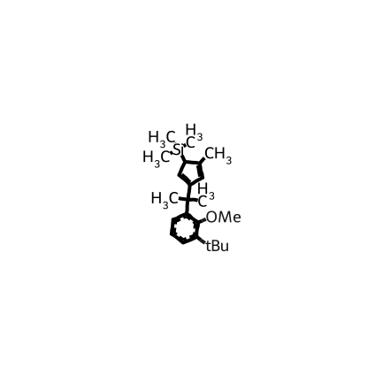 COc1c(C(C)(C)C)cccc1C(C)(C)C1=CC([Si](C)(C)C)C(C)=C1